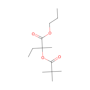 CCCOC(=O)C(C)(CC)OC(=O)C(C)(C)C